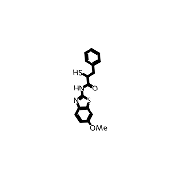 COc1ccc2nc(NC(=O)C(S)Cc3ccccc3)sc2c1